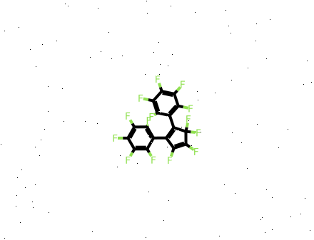 FC1=C(F)C(F)(F)C(c2c(F)c(F)c(F)c(F)c2F)=C1c1c(F)c(F)c(F)c(F)c1F